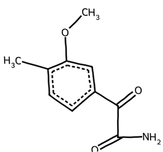 COc1cc(C(=O)C(N)=O)ccc1C